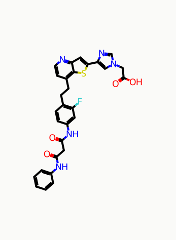 O=C(O)Cn1cnc(-c2cc3nccc(CCc4ccc(NC(=O)CC(=O)Nc5ccccc5)cc4F)c3s2)c1